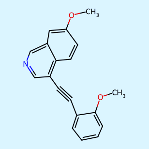 COc1ccc2c(C#Cc3ccccc3OC)cncc2c1